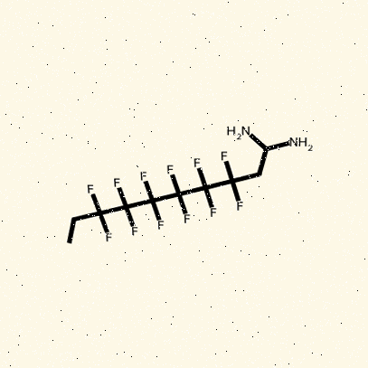 CCC(F)(F)C(F)(F)C(F)(F)C(F)(F)C(F)(F)C(F)(F)CC(N)N